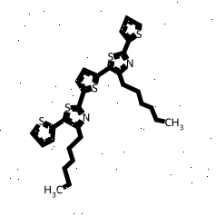 CCCCCCc1nc(-c2ccc(-c3sc(-c4cccs4)nc3CCCCCC)s2)sc1-c1cccs1